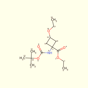 CCOC(=O)C1(NC(=O)OC(C)(C)C)CC(OCC)C1